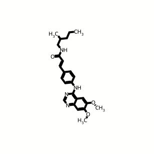 CCCC(C)CNC(=O)C=Cc1ccc(Nc2ncnc3cc(OC)c(OC)cc23)cc1